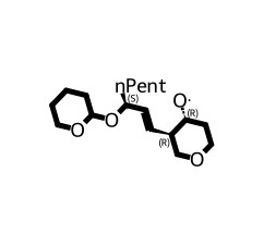 CCCCC[C@@H](C=C[C@@H]1COCC[C@H]1[O])OC1CCCCO1